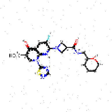 O=C(O)c1cn(-c2ncns2)c2nc(N3CC(C(=O)NCC4CCCCO4)C3)c(F)cc2c1=O